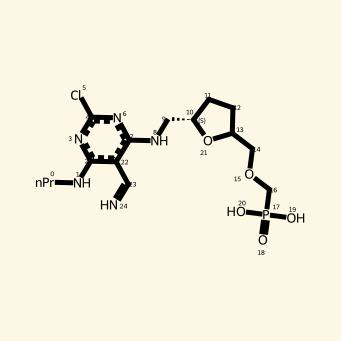 CCCNc1nc(Cl)nc(NC[C@@H]2CCC(COCP(=O)(O)O)O2)c1C=N